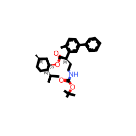 Cc1ccc(-c2ccccc2)cc1[C@@H](CCNC(=O)OC(C)(C)C)C(=O)O[C@@H]1C[C@H](C)CC[C@H]1C(C)C